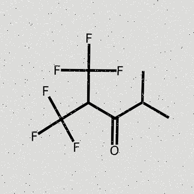 CC(C)C(=O)C(C(F)(F)F)C(F)(F)F